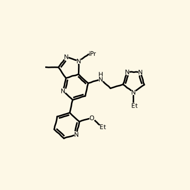 CCOc1ncccc1-c1cc(NCc2nncn2CC)c2c(n1)c(C)nn2C(C)C